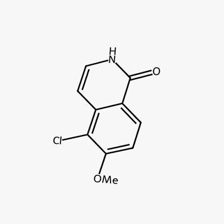 COc1ccc2c(=O)[nH]ccc2c1Cl